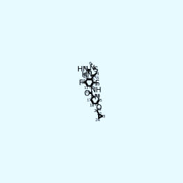 CN1SC[C@@](C)(c2c(F)c(F)cc(NC(=O)c3ccc(OCC4CC4)cn3)c2F)NC1=N